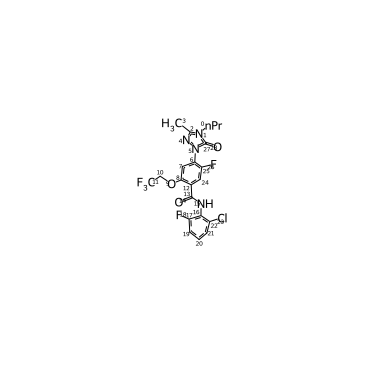 CCCn1c(C)nn(-c2cc(OCC(F)(F)F)c(C(=O)Nc3c(F)cccc3Cl)cc2F)c1=O